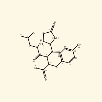 CC(C)CC(N)C(=O)N(C(=O)C1CCC(=O)N1)C(Cc1ccc(O)cc1)C(=O)O